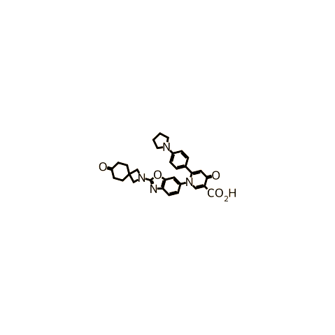 O=C1CCC2(CC1)CN(c1nc3ccc(-n4cc(C(=O)O)c(=O)cc4-c4ccc(N5CCCC5)cc4)cc3o1)C2